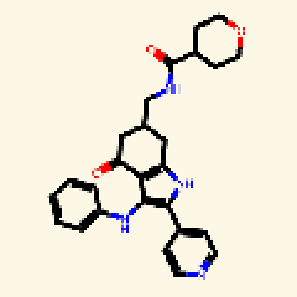 O=C1CC(CNC(=O)C2CCOCC2)Cc2[nH]c(-c3ccncc3)c(Nc3ccccc3)c21